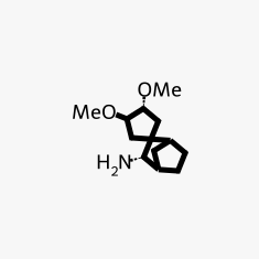 COC1CC2(C[C@H]1OC)C1CCC(C1)[C@@H]2N